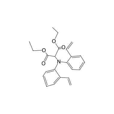 C=Cc1ccccc1N(c1ccccc1C=C)C(C(=O)OCC)C(=O)OCC